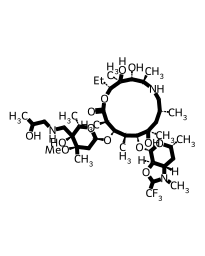 CC[C@H]1OC(=O)[C@H](C)[C@@H](O[C@H]2C[C@@](C)(OC)[C@](O)(CNCC(C)O)[C@H](C)O2)[C@H](C)[C@@H](O[C@@H]2O[C@H](C)C[C@H]3[C@H]2OC(C(F)(F)F)N3C)[C@](C)(O)C[C@@H](C)CN[C@H](C)[C@@H](O)[C@]1(C)O